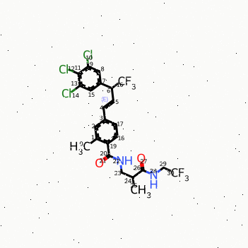 Cc1cc(/C=C/C(c2cc(Cl)c(Cl)c(Cl)c2)C(F)(F)F)ccc1C(=O)NCC(C)C(=O)NCC(F)(F)F